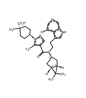 CC1(C)[C@@H]2C[C@@H](N(CCc3c[nH]c4cncc(Cl)c34)C(=O)c3cnn([C@H]4CC[C@](C)(C(=O)O)CC4)c3C(F)(F)F)C[C@@H]21